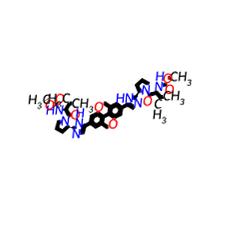 COC(=O)N[C@H](C(=O)N1CCC[C@@H]1c1ncc(-c2cc3c4c(c2)OCc2cc(-c5cnc([C@@H]6CCCN6C(=O)[C@@H](NC(=O)OC)C(C)C)[nH]5)cc(c2-4)OC3)[nH]1)C(C)C